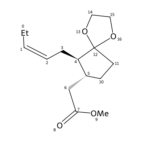 CC/C=C\C[C@@H]1[C@@H](CC(=O)OC)CCC12OCCO2